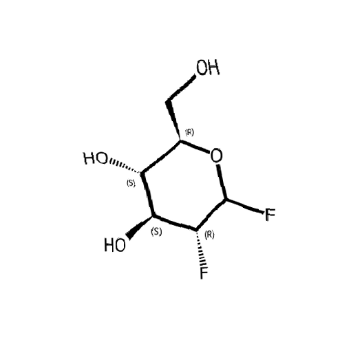 OC[C@H]1OC(F)[C@H](F)[C@@H](O)[C@@H]1O